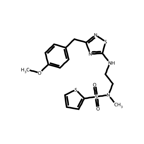 COc1ccc(Cc2nsc(NCCN(C)S(=O)(=O)c3cccs3)n2)cc1